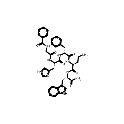 NCC[C@H](NC(=O)[C@@H](Cc1ccccc1)NC(=O)[C@H](Cc1c[nH]cn1)NC(=O)CNC(=O)c1ccccc1)C(=O)N[C@@H](Cc1c[nH]c2ccccc12)C(N)=O